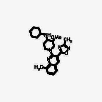 COC1CN(c2nc3c(C)cccc3cc2-c2nc(C)no2)CCC1NC1CCCCC1